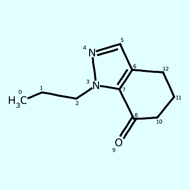 CCCn1ncc2c1C(=O)CCC2